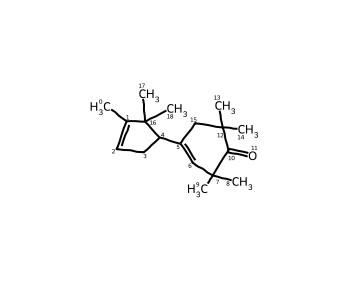 CC1=CCC(C2=CC(C)(C)C(=O)C(C)(C)C2)C1(C)C